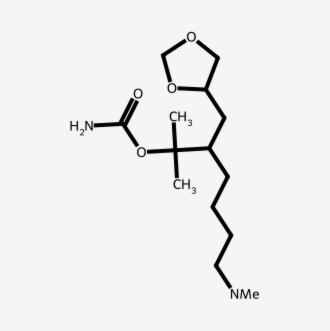 CNCCCCC(CC1COCO1)C(C)(C)OC(N)=O